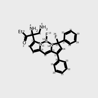 CCC(=O)C(N)(CN)c1ccc2n1B(F)N1C(=C2)C(c2ccccc2)=CC1(F)c1ccccc1